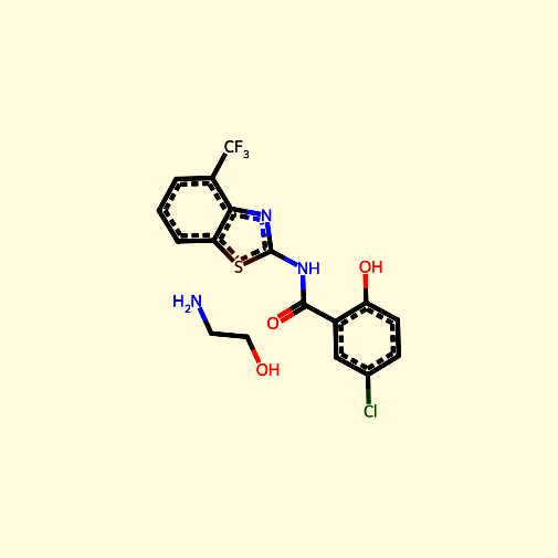 NCCO.O=C(Nc1nc2c(C(F)(F)F)cccc2s1)c1cc(Cl)ccc1O